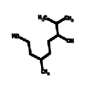 CC(CCO)CCC(O)C(C)C